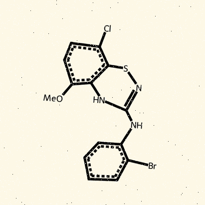 COc1ccc(Cl)c2c1NC(Nc1ccccc1Br)=NS2